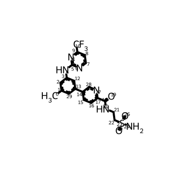 Cc1cc(Nc2nccc(C(F)(F)F)n2)cc(-c2ccc(C(=O)NCCS(N)(=O)=O)nc2)c1